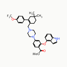 COC(=O)c1ccc(N2CCN(CC3=C(c4ccc(OC(F)(F)F)cc4)CC(C)(C)CC3)CC2)cc1Oc1cccc2[nH]ccc12